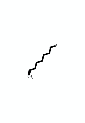 C=CCCCCC[CH]F